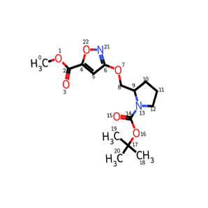 COC(=O)c1cc(OCC2CCCN2C(=O)OC(C)(C)C)no1